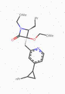 CCCC1CC1c1ccnc(C[C@]2(OCOC)C(=O)N(COC)[C@H]2CC(C)C)c1